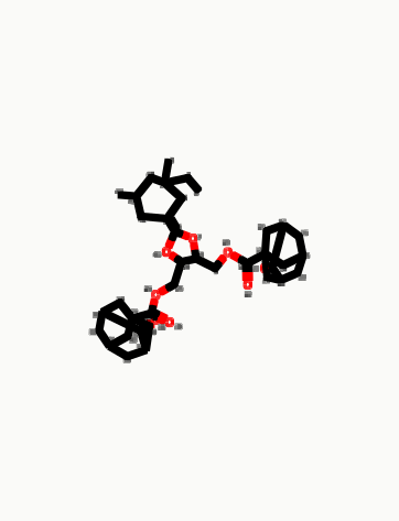 CCC1(C)CC(=C2OC(COC(=O)C34CC5CC(C3)C(=O)C(C5)C4)C(COC(=O)C34CC5CC(C3)C(=O)C(C5)C4)O2)CC(C)C1